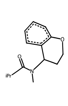 CC(C)C(=O)N(C)C1CCOc2ccccc21